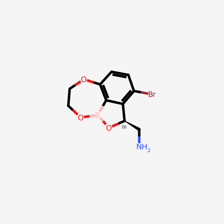 NC[C@H]1OB2OCCOc3ccc(Br)c1c32